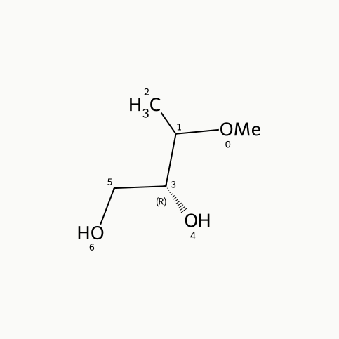 COC(C)[C@H](O)CO